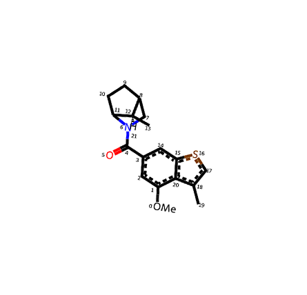 COc1cc(C(=O)N2CC3CCC2[C@@H]3C)cc2scc(C)c12